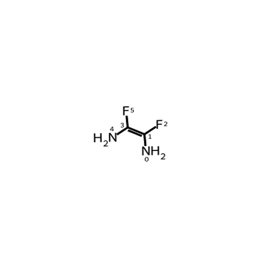 N/C(F)=C(\N)F